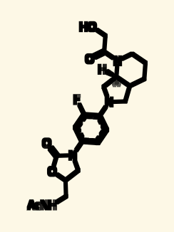 CC(=O)NCC1CN(c2ccc(N3CC4CCCN(C(=O)CO)[C@H]4C3)c(F)c2)C(=O)O1